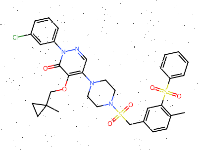 Cc1ccc(CS(=O)(=O)N2CCN(c3cnn(-c4cccc(Cl)c4)c(=O)c3OCC3(C)CC3)CC2)cc1S(=O)(=O)c1ccccc1